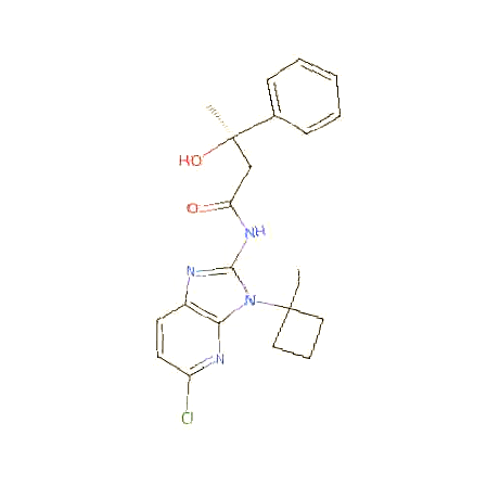 CC1(n2c(NC(=O)C[C@@](C)(O)c3ccccc3)nc3ccc(Cl)nc32)CCC1